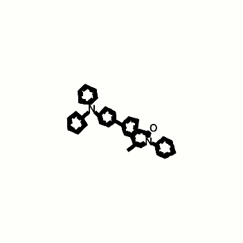 Cc1cn(-c2ccccc2)c(=O)c2ccc(-c3ccc(N(c4ccccc4)c4ccccc4)cc3)cc12